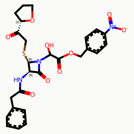 O=C(Cc1ccccc1)N[C@@H]1C(=O)N(C(O)C(=O)OCc2ccc([N+](=O)[O-])cc2)[C@@H]1SCC(=O)[C@@H]1CCCO1